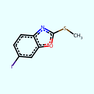 CSc1nc2ccc(I)cc2o1